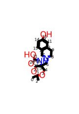 CC1(C)OCC(CN2CCc3cc(O)ccc3C2)(NC(=O)O)CO1